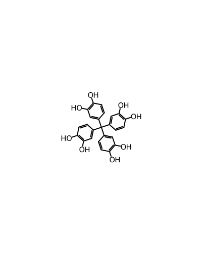 Oc1ccc(C(c2ccc(O)c(O)c2)(c2ccc(O)c(O)c2)c2ccc(O)c(O)c2)cc1O